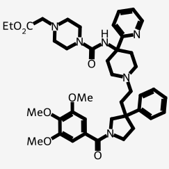 CCOC(=O)CN1CCN(C(=O)NC2(c3ccccn3)CCN(CCC3(c4ccccc4)CCN(C(=O)c4cc(OC)c(OC)c(OC)c4)C3)CC2)CC1